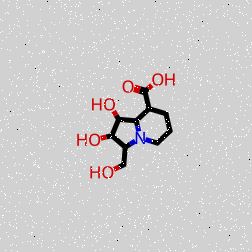 O=C(O)C1CCCN2C(CO)C(O)C(O)C12